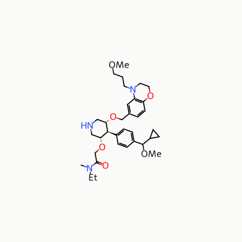 CCN(C)C(=O)CO[C@@H]1CNC[C@H](OCc2ccc3c(c2)N(CCCOC)CCO3)[C@H]1c1ccc(C(OC)C2CC2)cc1